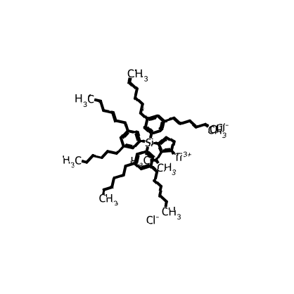 CCCCCCc1cc(CCCCCC)cc([Si](C2=CC[C]([Ti+3])=C2C(C)C)(c2cc(CCCCCC)cc(CCCCCC)c2)c2cc(CCCCCC)cc(CCCCCC)c2)c1.[Cl-].[Cl-].[Cl-]